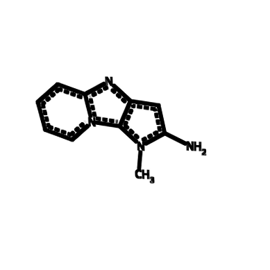 Cn1c(N)cc2nc3ccccn3c21